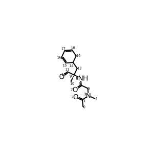 CC(=O)N(C)CC(=O)N[C@](C)(C=O)CC1C=[C]C=CC1